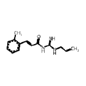 C=CCNC(=N)NC(=O)C=Cc1ccccc1C